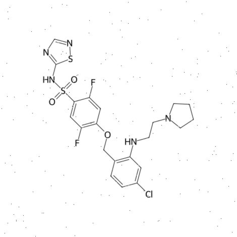 O=S(=O)(Nc1ncns1)c1cc(F)c(OCc2ccc(Cl)cc2NCCN2CCCC2)cc1F